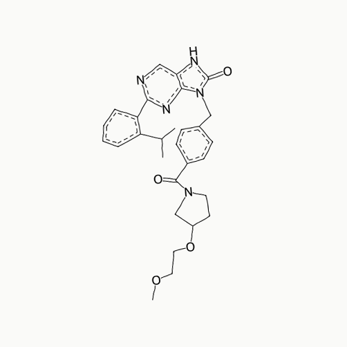 COCCOC1CCN(C(=O)c2ccc(Cn3c(=O)[nH]c4cnc(-c5ccccc5C(C)C)nc43)cc2)C1